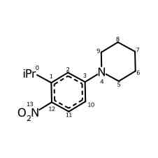 CC(C)c1cc(N2CCCCC2)ccc1[N+](=O)[O-]